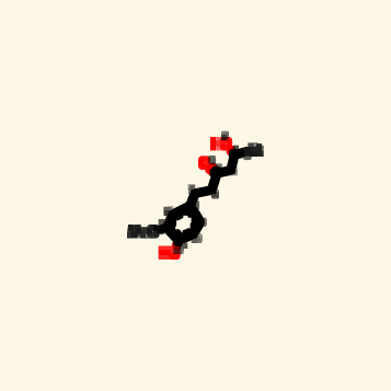 CCC(O)CC(=O)CCc1ccc(O)c(OC)c1